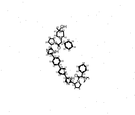 CN(C)C(C(=O)N1CCCC1c1ncc(-c2ccc(-c3ccc(-c4cnc([C@@H]5CCCN5C(=O)[C@@H](c5ccccc5)N5CCC(C)(O)CC5)[nH]4)cc3)cc2)[nH]1)c1ccccc1